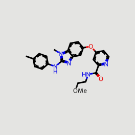 COCCNC(=O)c1cc(Oc2ccc3c(c2)nc(Nc2ccc(C)cc2)n3C)ccn1